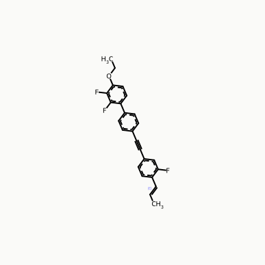 C/C=C/c1ccc(C#Cc2ccc(-c3ccc(OCC)c(F)c3F)cc2)cc1F